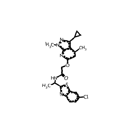 Cc1cc(OCC(=O)NC(C)c2nc3ccc(Cl)cc3s2)nc2c1c(C1CC1)nn2C